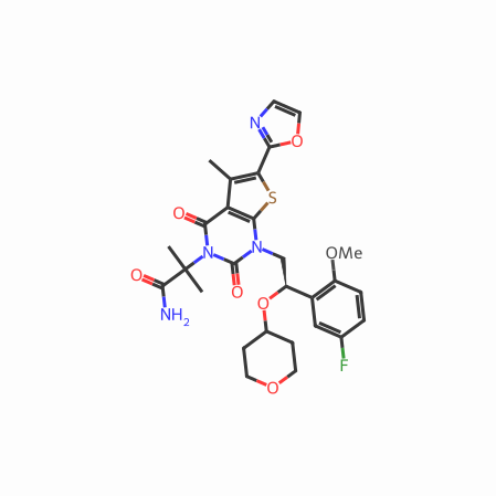 COc1ccc(F)cc1[C@H](Cn1c(=O)n(C(C)(C)C(N)=O)c(=O)c2c(C)c(-c3ncco3)sc21)OC1CCOCC1